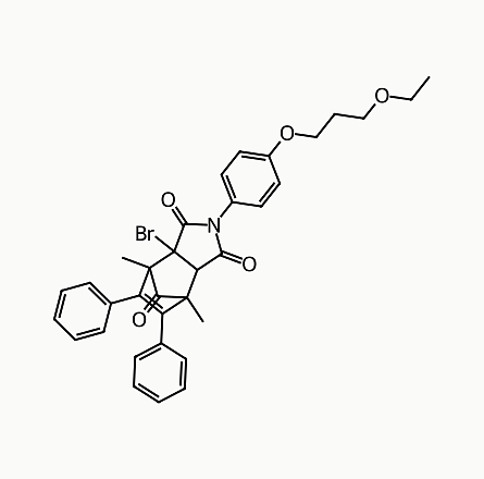 CCOCCCOc1ccc(N2C(=O)C3C4(C)C(=O)C(C)(C(c5ccccc5)=C4c4ccccc4)C3(Br)C2=O)cc1